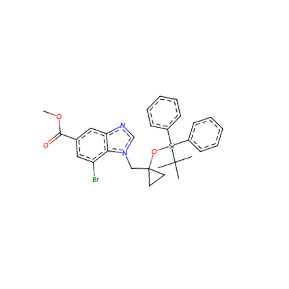 COC(=O)c1cc(Br)c2c(c1)ncn2CC1(O[Si](c2ccccc2)(c2ccccc2)C(C)(C)C)CC1